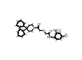 O=C(COCC(=O)N1CCC(c2ccccc2)(c2ccccc2)CC1)Nc1ccc(Cl)cc1C(=O)O